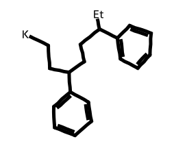 CCC(CCC(C[CH2][K])c1ccccc1)c1ccccc1